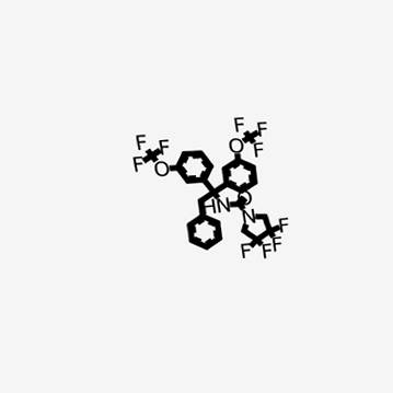 O=C(NC(Cc1ccccc1)(c1cccc(OC(F)(F)F)c1)c1cccc(OC(F)(F)F)c1)N1CC(F)(F)C(F)(F)C1